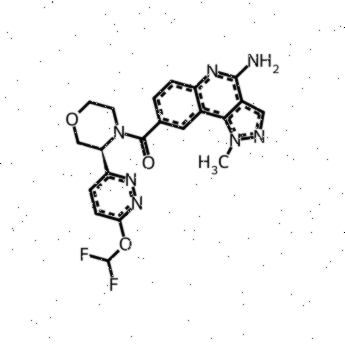 Cn1ncc2c(N)nc3ccc(C(=O)N4CCOC[C@@H]4c4ccc(OC(F)F)nn4)cc3c21